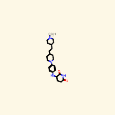 O=C1CCC(Nc2ccc(N3CCC(CCC4CCN(C(=O)O)CC4)CC3)cc2)C(=O)N1